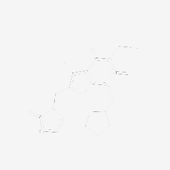 Cc1c(Cn2cc[nH]c2=O)sc2c1c(=O)n(CC(C)(C)C)c(=O)n2CC1CCCO1